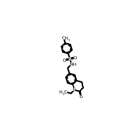 CCN1C(=O)CCc2cc(CNS(=O)(=O)c3ccc(C)cc3)ccc21